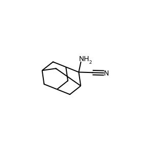 N#CC1(N)C2CC3CC(C2)CC1C3